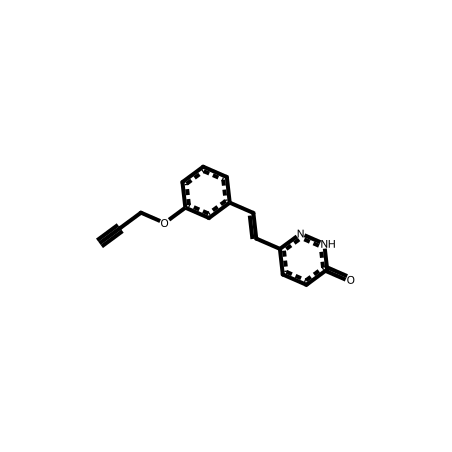 C#CCOc1cccc(C=Cc2ccc(=O)[nH]n2)c1